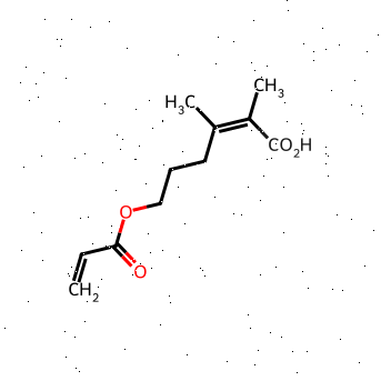 C=CC(=O)OCCCC(C)=C(C)C(=O)O